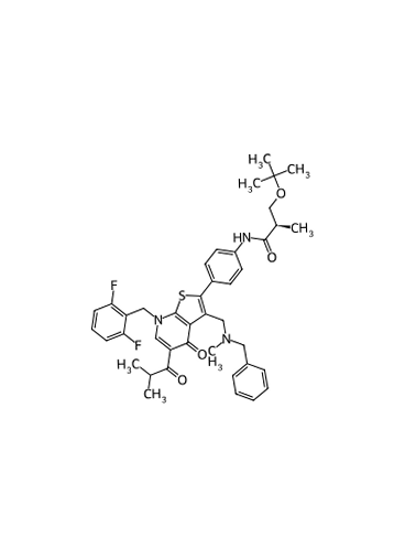 CC(C)C(=O)c1cn(Cc2c(F)cccc2F)c2sc(-c3ccc(NC(=O)[C@H](C)COC(C)(C)C)cc3)c(CN(C)Cc3ccccc3)c2c1=O